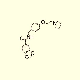 O=C(NCc1ccc(OCCN2CCCC2)cc1)c1ccc2c(c1)OCO2